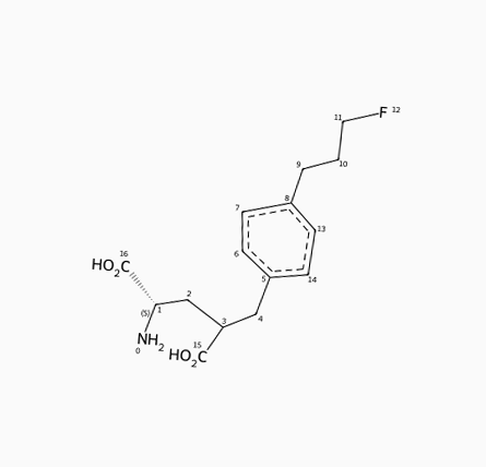 N[C@@H](CC(Cc1ccc(CCCF)cc1)C(=O)O)C(=O)O